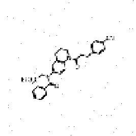 CCOC(=O)CN(C(=O)c1ccccc1)c1ccc2c(c1)CCCN2C(=O)CCc1ccc(C#N)cc1